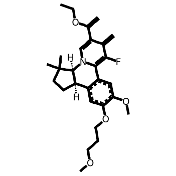 C=C(OCC)C1=CN2C(=C(F)C1=C)c1cc(OC)c(OCCCOC)cc1[C@H]1CCC(C)(C)[C@H]12